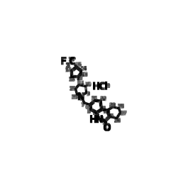 Cl.O=c1[nH]c2cc(CN3CCC(c4ccc(C(F)(F)F)cc4)CC3)ccc2c2c1CCCC2